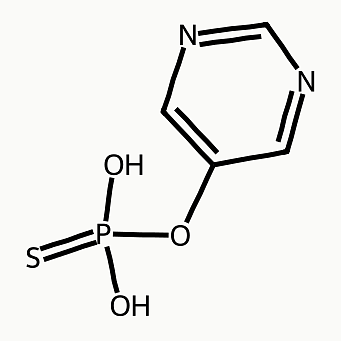 OP(O)(=S)Oc1cncnc1